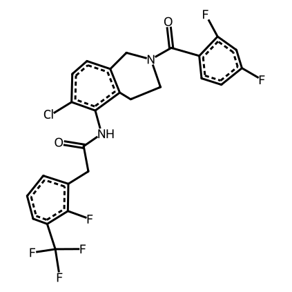 O=C(Cc1cccc(C(F)(F)F)c1F)Nc1c(Cl)ccc2c1CCN(C(=O)c1ccc(F)cc1F)C2